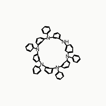 c1ccc(-n2c3cccc(c3)[nH]c3cccc(c3)n(-c3ccccc3)c3cccc(c3)n(-c3ccccc3)c3cccc(c3)n(-c3ccccc3)c3cccc(c3)n(-c3ccccc3)c3cccc2c3)cc1